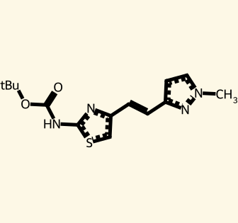 Cn1ccc(/C=C/c2csc(NC(=O)OC(C)(C)C)n2)n1